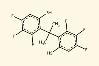 CC(C)(c1c(S)cc(F)c(F)c1F)c1c(S)cc(F)c(F)c1F